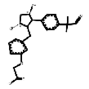 CC(C)(C=O)c1ccc(C2C(Cc3cccc(OCC(=O)O)c3)[C@H](Cl)C[C@H]2O)cc1